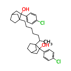 CC(CCCCCC12CCC(C1)CC2(O)c1ccc(Cl)cc1)C12CCC(CC1(O)c1ccc(Cl)cc1)C2